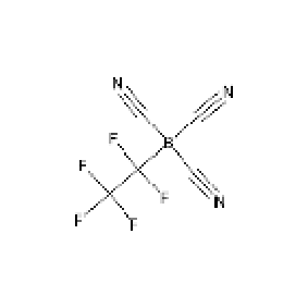 N#C[B-](C#N)(C#N)C(F)(F)C(F)(F)F